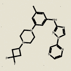 Cc1cc(Nc2ncn(-c3cnccn3)n2)cc(N2CCN(C3CC(F)(F)C3)CC2)c1